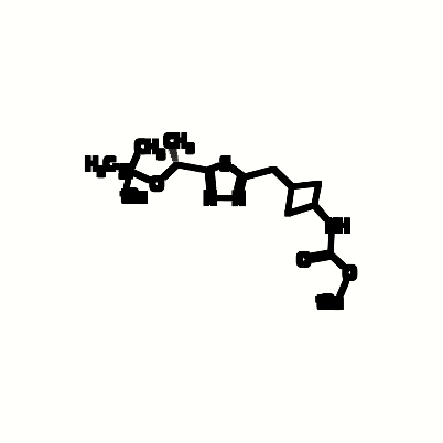 C[C@@H](O[Si](C)(C)C(C)(C)C)c1nnc(CC2CC(NC(=O)OC(C)(C)C)C2)s1